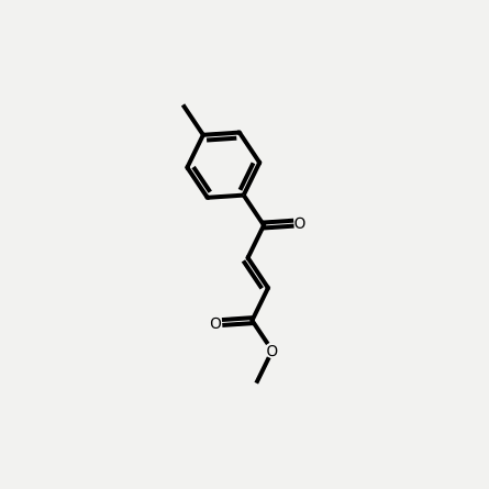 COC(=O)C=CC(=O)c1ccc(C)cc1